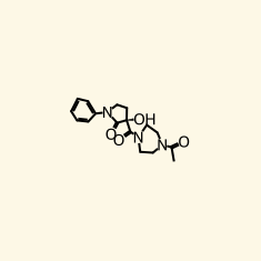 CC(=O)N1CCN(C(=O)[C@@]2(O)CCN(c3ccccc3)C2=O)CC1